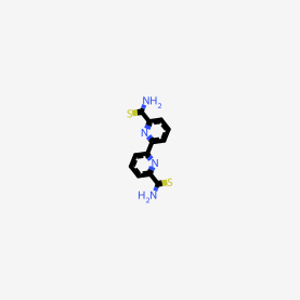 NC(=S)c1cccc(-c2cccc(C(N)=S)n2)n1